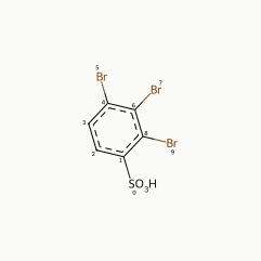 O=S(=O)(O)c1ccc(Br)c(Br)c1Br